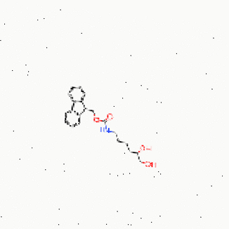 O=C(NCCCC[C@@H](O)CO)OCC1c2ccccc2-c2ccccc21